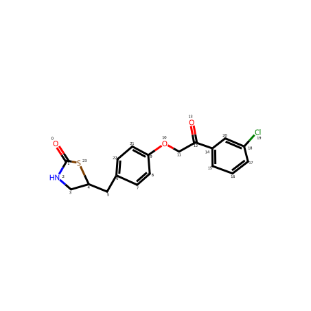 O=C1NCC(Cc2ccc(OCC(=O)c3cccc(Cl)c3)cc2)S1